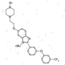 CCCCn1c(-c2cccc(Oc3cccc(C(F)(F)F)c3)c2)nc2ccc(OCCN3CCN(C(C)=O)CC3)cc21